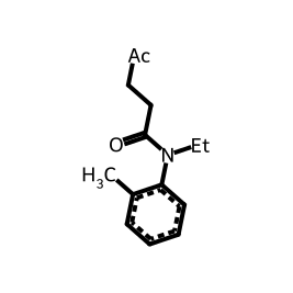 CCN(C(=O)CCC(C)=O)c1ccccc1C